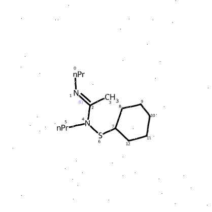 CCC/N=C(\C)N(CCC)SC1CCCCC1